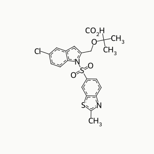 Cc1nc2ccc(S(=O)(=O)n3c(COC(C)(C)C(=O)O)cc4cc(Cl)ccc43)cc2s1